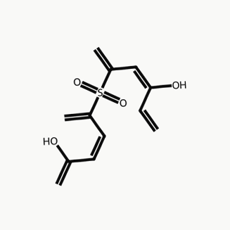 C=C/C(O)=C\C(=C)S(=O)(=O)C(=C)/C=C\C(=C)O